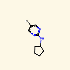 CCc1cnc(NC2CCCC2)nc1